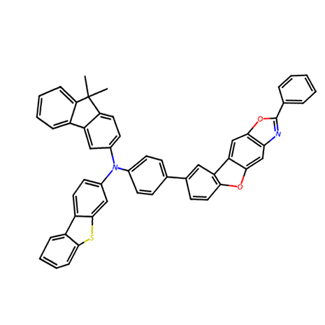 CC1(C)c2ccccc2-c2cc(N(c3ccc(-c4ccc5oc6cc7nc(-c8ccccc8)oc7cc6c5c4)cc3)c3ccc4c(c3)sc3ccccc34)ccc21